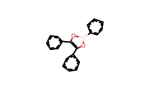 c1ccc(B2OC(c3ccccc3)=C(c3ccccc3)O2)cc1